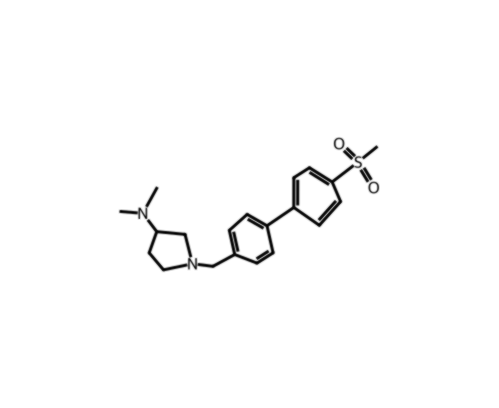 CN(C)C1CCN(Cc2ccc(-c3ccc(S(C)(=O)=O)cc3)cc2)C1